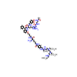 CCC(=O)NCCNC(=O)/N=C(/N)NCCC[C@@H](NC(=O)[C@@H](c1ccccc1)c1cccc(OCCCCNC(=O)[C@H](N)CCCCNC(=O)c2ccc(CNC(C=O)NCCN(CCN(CCNCC(=O)O)CC(=O)O)CC(=O)O)cc2)c1)C(=O)NCc1ccc(O)cc1